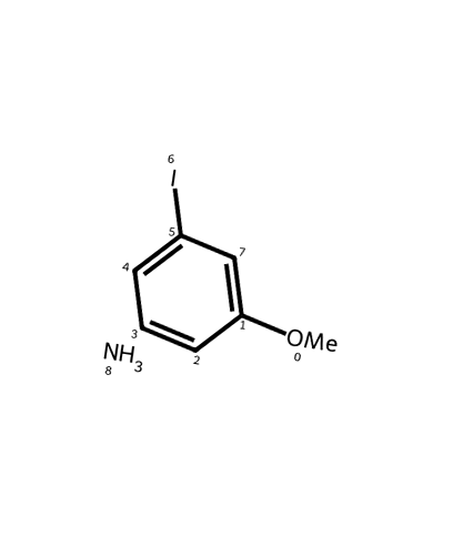 COc1cccc(I)c1.N